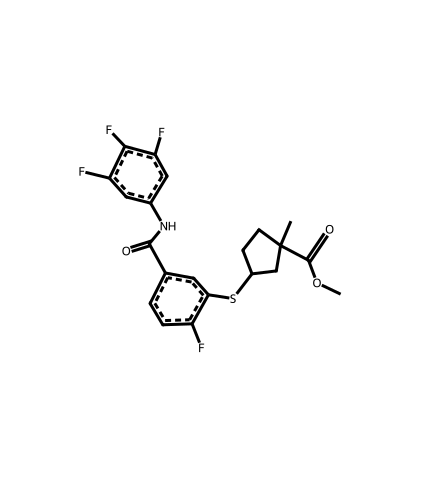 COC(=O)C1(C)CCC(Sc2cc(C(=O)Nc3cc(F)c(F)c(F)c3)ccc2F)C1